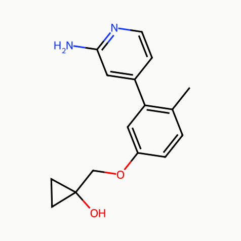 Cc1ccc(OCC2(O)CC2)cc1-c1ccnc(N)c1